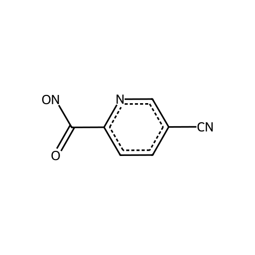 N#Cc1ccc(C(=O)N=O)nc1